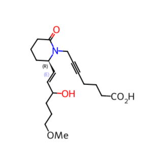 COCCCC(O)/C=C/[C@H]1CCCC(=O)N1CC#CCCCC(=O)O